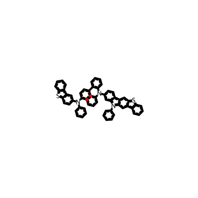 c1ccc(N(c2ccc(-c3ccccc3N(c3ccccc3)c3ccc4c5cc6sc7ccccc7c6cc5n(-c5ccccc5)c4c3)cc2)c2ccc3sc4ccccc4c3c2)cc1